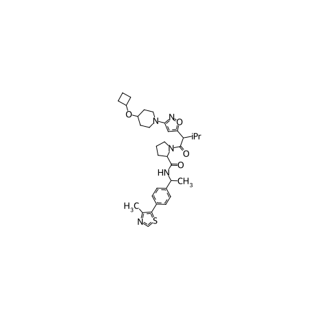 Cc1ncsc1-c1ccc(C(C)NC(=O)C2CCCN2C(=O)C(c2cc(N3CCC(OC4CCC4)CC3)no2)C(C)C)cc1